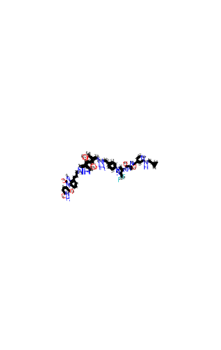 Cn1c(=O)n(C2CCC(=O)NC2=O)c2cccc(CCCNCC3COC4C(CNCc5ccc(-n6cc(NC(=O)c7coc(-c8ccnc(NCC9CC9)c8)n7)c(C(F)F)n6)cc5)COC34)c21